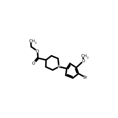 CCOC(=O)C1CCN(c2ccc(Br)c(OC)c2)CC1